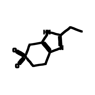 CCc1nc2c([nH]1)CS(=O)(=O)CC2